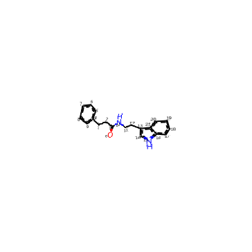 O=C(CCc1ccccc1)NCCc1c[nH]c2ccccc12